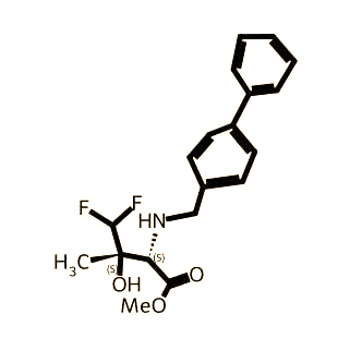 COC(=O)[C@@H](NCc1ccc(-c2ccccc2)cc1)[C@](C)(O)C(F)F